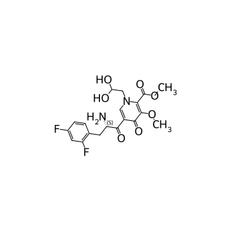 COC(=O)c1c(OC)c(=O)c(C(=O)[C@@H](N)Cc2ccc(F)cc2F)cn1CC(O)O